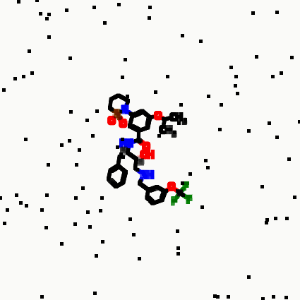 CC(C)Oc1cc(C(=O)N[C@@H](Cc2ccccc2)[C@H](O)CNCc2cccc(OC(F)(F)F)c2)cc(N2CCCCS2(=O)=O)c1